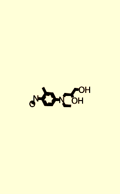 CCN(CC(O)CO)c1ccc(N=O)c(C)c1